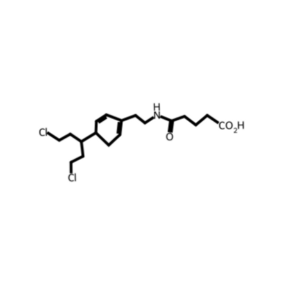 O=C(O)CCCC(=O)NCCC1=CCC(C(CCCl)CCCl)C=C1